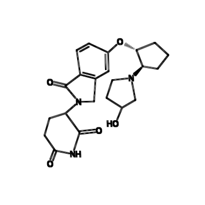 O=C1CCC(N2Cc3cc(O[C@@H]4CCC[C@H]4N4CCC(O)C4)ccc3C2=O)C(=O)N1